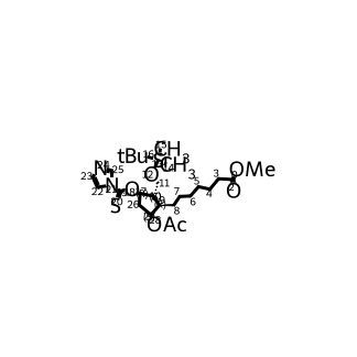 COC(=O)CCCCCC[C@@H]1[C@@H](CO[Si](C)(C)C(C)(C)C)[C@H](OC(=S)n2ccnc2)C[C@@H]1OC(C)=O